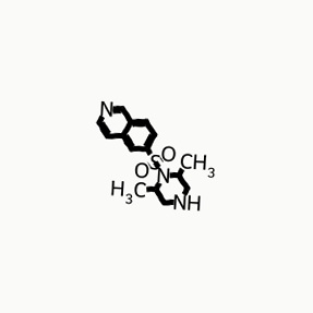 CC1CNCC(C)N1S(=O)(=O)c1ccc2cnccc2c1